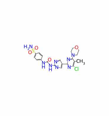 Cc1c(Cl)nc(-c2cnc(NC(=O)Nc3ccc(S(N)(=O)=O)cc3)nc2)nc1N1CCOCC1